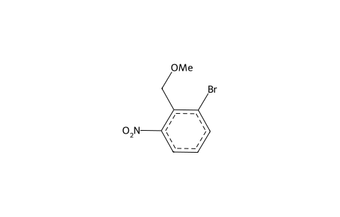 COCc1c(Br)cccc1[N+](=O)[O-]